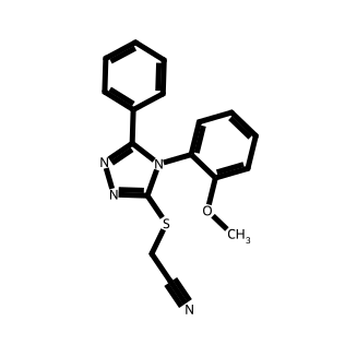 COc1ccccc1-n1c(SCC#N)nnc1-c1ccccc1